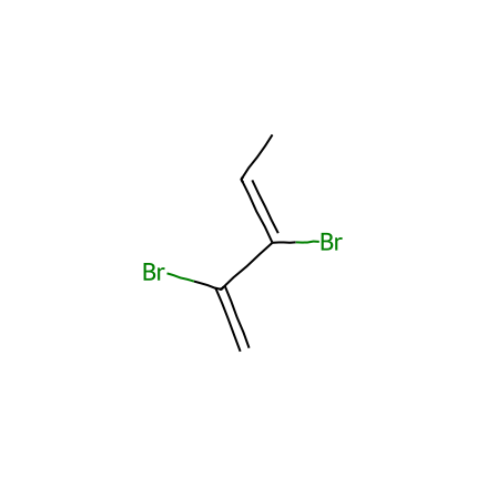 C=C(Br)C(Br)=CC